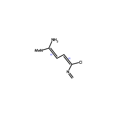 C=N/C(Cl)=C\C=C(/N)NC